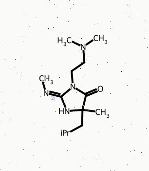 C/N=C1/NC(C)(CC(C)C)C(=O)N1CCN(C)C